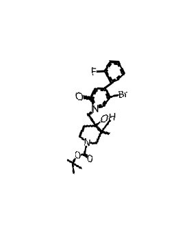 CC(C)(C)OC(=O)N1CCC(O)(Cn2cc(Br)c(-c3ccccc3F)cc2=O)C(C)(C)C1